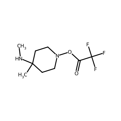 CNC1(C)CCN(OC(=O)C(F)(F)F)CC1